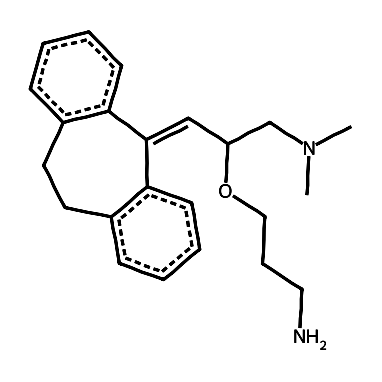 CN(C)CC(C=C1c2ccccc2CCc2ccccc21)OCCCN